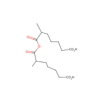 CC(CCCCC(=O)O)C(=O)OC(=O)C(C)CCCCC(=O)O